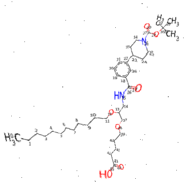 CCCCCCCCCCCCOC(CNC(=O)c1cccc(C2CCN(C(=O)OC(C)(C)C)CC2)c1)COCCCCC(=O)O